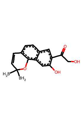 BC1(B)C=Cc2ccc3cc(C(=O)CO)c(O)cc3c2O1